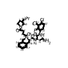 CC(C)C1CCN(C(=O)CCC(=O)N2Cc3ccccc3C[C@H]2C(=O)N[C@@H](CCN)C(=O)Nc2ccc(Cl)c(Cl)c2F)C1